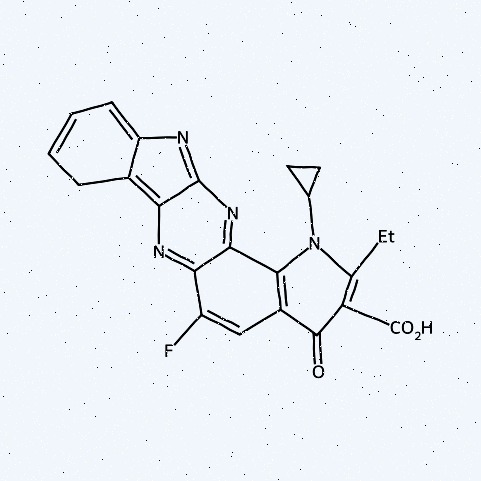 CCc1c(C(=O)O)c(=O)c2cc(F)c3nc4c(nc3c2n1C1CC1)=NC1=CC=CCC=41